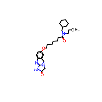 CC(=O)OCCN(CC1CCCCC1)C(=O)CCCCCCOc1ccc2c(c1)CN1CC(=O)NC1=N2